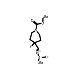 CC(C)(C)OC(=O)N1CCC(F)(/C=N/[S+]([O-])C(C)(C)C)CC1